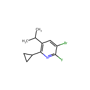 CC(C)c1cc(Br)c(F)nc1C1CC1